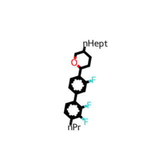 CCCCCCCC1CCC(c2ccc(-c3ccc(CCC)c(F)c3F)cc2F)OC1